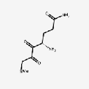 CNCC(=O)C(=O)[C@@H](N)CCC(N)=O